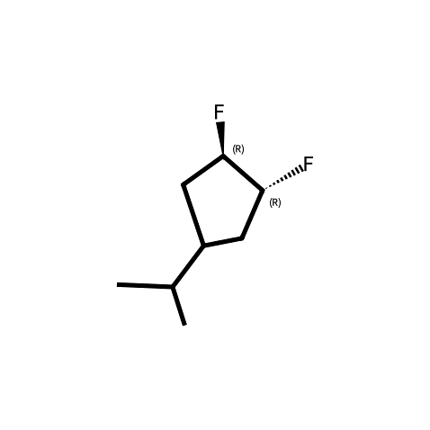 CC(C)C1C[C@@H](F)[C@H](F)C1